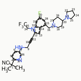 CC(C)(C#N)c1ccc(NCC#Cc2cc3c(CN4CCC(N5CCCC5)CC4)cc(F)cc3n2CC(F)(F)F)cn1